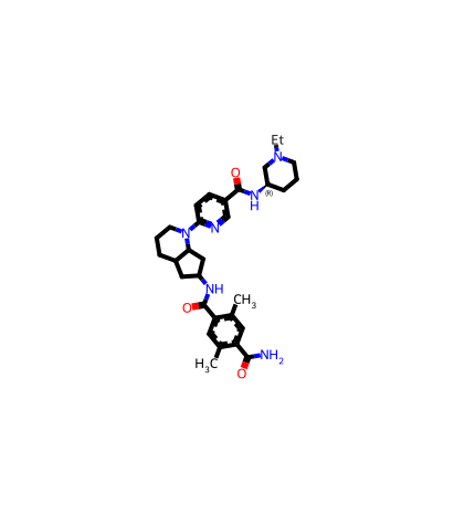 CCN1CCC[C@@H](NC(=O)c2ccc(N3CCCC4CC(NC(=O)c5cc(C)c(C(N)=O)cc5C)CC43)nc2)C1